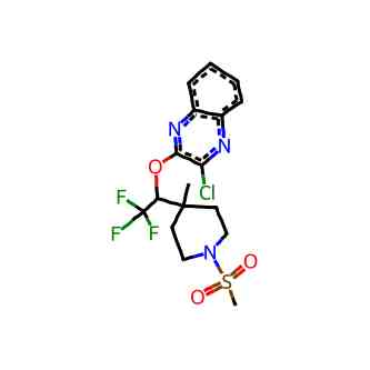 CC1(C(Oc2nc3ccccc3nc2Cl)C(F)(F)F)CCN(S(C)(=O)=O)CC1